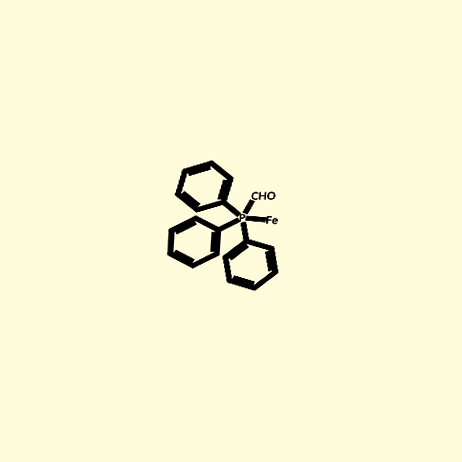 O=C[P]([Fe])(c1ccccc1)(c1ccccc1)c1ccccc1